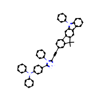 CC1(C)c2cc(C#Cc3nnc(-c4ccc(N(c5ccccc5)c5ccccc5)cc4)n3-c3ccccc3)ccc2-c2cc3c(cc21)c1ccccc1n3-c1ccccc1